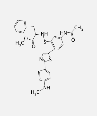 CNc1ccc(-c2ncc(-c3ccc(NC(C)=O)cc3SNC(Cc3ccccc3)C(=O)OC)s2)cc1